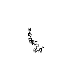 C=Cc1cc(C)nc(-c2cnn(C)c2CCCCC(C)Cn2c(N)nc3ccc(N4CCB(C#N)CC4=C)cc32)c1